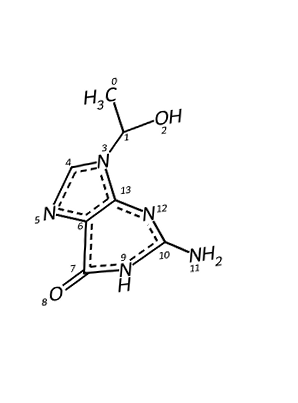 CC(O)n1cnc2c(=O)[nH]c(N)nc21